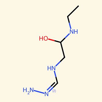 CCNC(O)CN/C=N\N